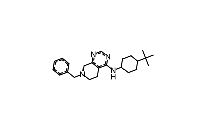 CC(C)(C)C1CCC(Nc2ncnc3c2CCN(Cc2ccccc2)C3)CC1